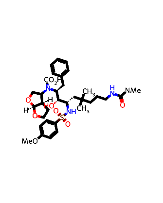 CNC(=O)NCCCC(C)(C)C[C@H](NS(=O)(=O)c1ccc(OC)cc1)[C@H](O)[C@H](Cc1ccccc1)N(C(=O)O)C1CO[C@@H]2OCC[C@H]12